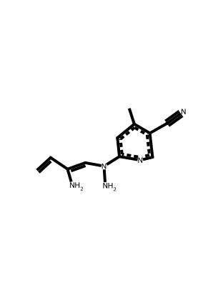 C=C/C(N)=C/N(N)c1cc(C)c(C#N)cn1